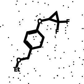 CCOCC1=CC=C(OC2CC2(F)F)CC1